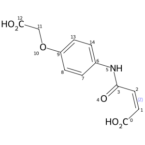 O=C(O)/C=C\C(=O)Nc1ccc(OCC(=O)O)cc1